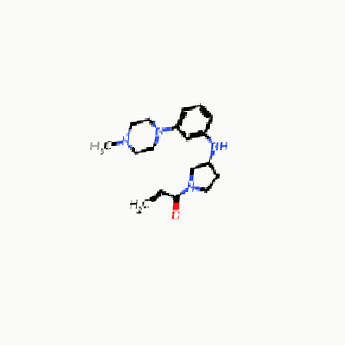 C=CC(=O)N1CC[C@H](Nc2cccc(N3CCN(C)CC3)c2)C1